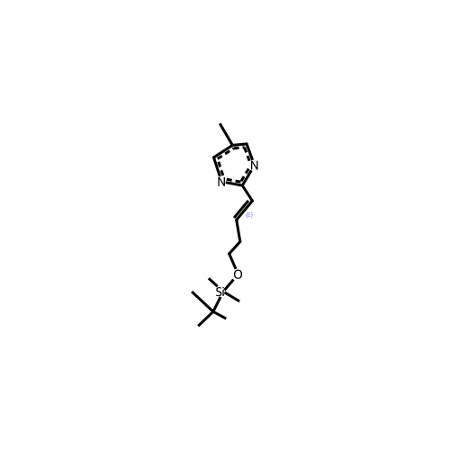 Cc1cnc(/C=C/CCO[Si](C)(C)C(C)(C)C)nc1